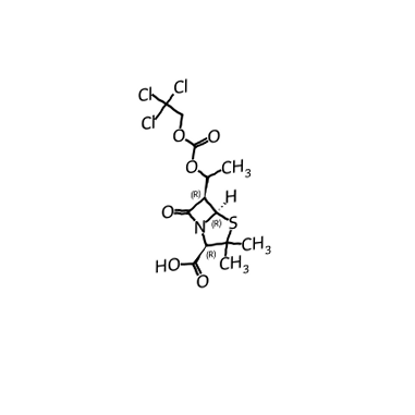 CC(OC(=O)OCC(Cl)(Cl)Cl)[C@@H]1C(=O)N2[C@@H]1SC(C)(C)[C@H]2C(=O)O